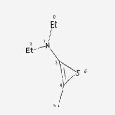 CCN(CC)C1=C(C)S1